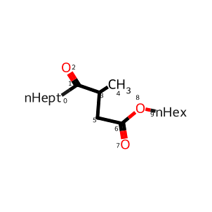 CCCCCCCC(=O)C(C)CC(=O)OCCCCCC